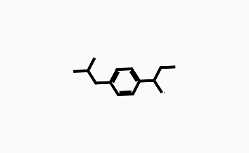 [CH2]C(CC)c1ccc(CC(C)C)cc1